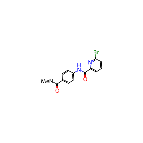 CNC(=O)c1ccc(NC(=O)c2cccc(Br)n2)cc1